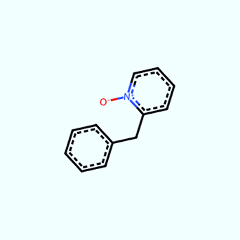 [O-][n+]1ccccc1Cc1ccccc1